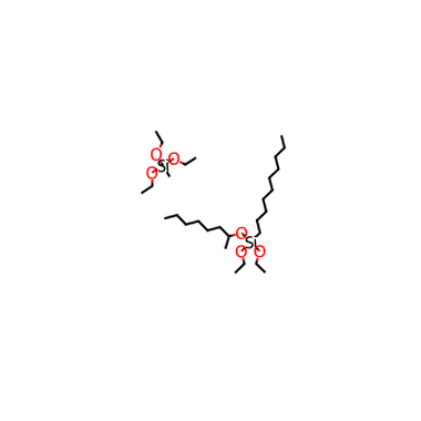 CCCCCCCCCC[Si](OCC)(OCC)OC(C)CCCCCC.CCO[Si](C)(OCC)OCC